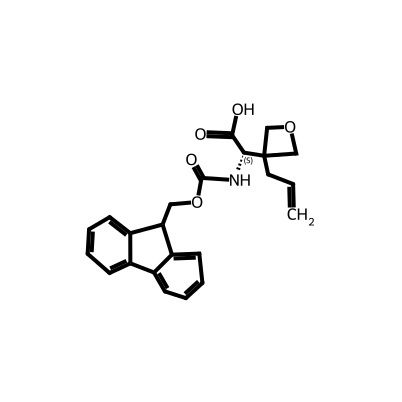 C=CCC1([C@H](NC(=O)OCC2c3ccccc3-c3ccccc32)C(=O)O)COC1